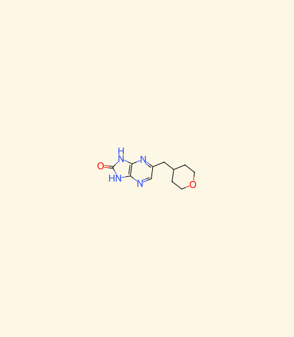 O=c1[nH]c2ncc(CC3CCOCC3)nc2[nH]1